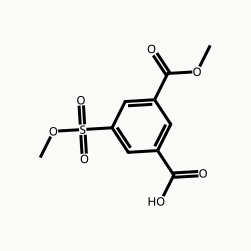 COC(=O)c1cc(C(=O)O)cc(S(=O)(=O)OC)c1